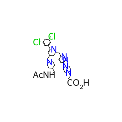 CC(=O)NCC1CCN(Cc2cc(Cc3ccc(N4CCN(CCC(=O)O)CC4)nn3)nc(-c3cc(Cl)cc(Cl)c3)c2)CC1